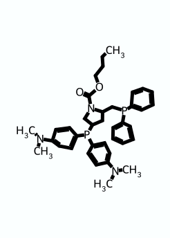 CCCCOC(=O)N1CC(P(c2ccc(N(C)C)cc2)c2ccc(N(C)C)cc2)CC1CP(c1ccccc1)c1ccccc1